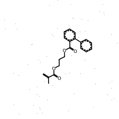 C=C(C)C(=O)OCCCOC(=O)c1ccccc1-c1ccccc1